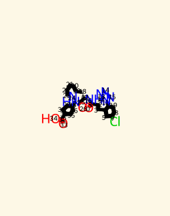 O=C(C=Cc1cc(Cl)ccc1-n1cnnn1)N[C@@H](Cc1ccccn1)C(=O)Nc1ccc(C(=O)O)cc1